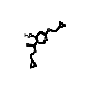 Cc1cc(OCC2CC2)ncc1C(=O)OCC1CC1